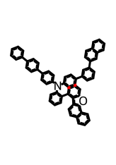 c1ccc(-c2ccc(-c3ccc(N(c4ccc(-c5cccc(-c6ccc7ccccc7c6)c5)cc4)c4ccccc4-c4cccc5oc6c7ccccc7ccc6c45)cc3)cc2)cc1